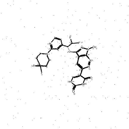 Cn1nc(O[C@H](c2ccnc(N3CCC(F)(F)CC3)c2)C(F)F)c2cc(-c3c[nH]c(=O)[nH]c3=O)nnc21